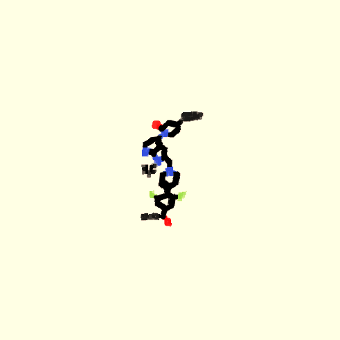 CNc1ccn(-c2ccnc3c2cc(CN2CC=C(c4c(F)cc(C(=O)OC)cc4F)CC2)n3C)c(=O)c1